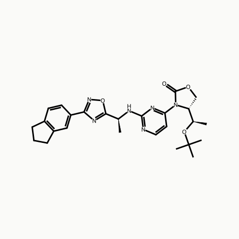 C[C@H](Nc1nccc(N2C(=O)OC[C@@H]2[C@@H](C)OC(C)(C)C)n1)c1nc(-c2ccc3c(c2)CCC3)no1